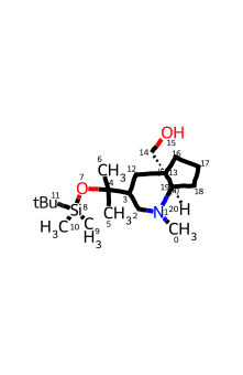 CN1CC(C(C)(C)O[Si](C)(C)C(C)(C)C)C[C@@]2(CO)CCC[C@@H]12